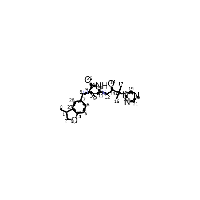 CC1COc2ccc(/C=c3\s/c(=C/C(=O)C(C)(C)n4cncn4)[nH]c3=O)cc21